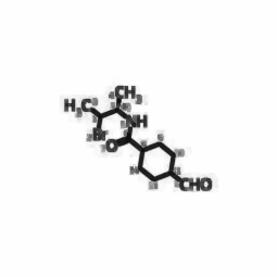 CC(Br)[C@@H](C)NC(=O)C1CCC(C=O)CC1